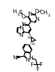 COc1ncc(-c2cc([C@H]3C[C@@H]3c3ccc4c(C#N)nn(CC(F)(F)F)c4c3)c3nccn3n2)c(OC)n1